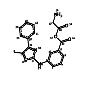 Cc1sc(Nc2cccc(C(=O)OC(=O)CN)c2)nc1-c1ccccc1